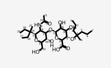 CCCC(C)(CCC)O[C@@H]1C(C(=O)O)O[C@@H](OC2C(NC(C)=O)[C@H](C(C)(CC)CC)OC(CO)[C@H]2O)C(O)C1O